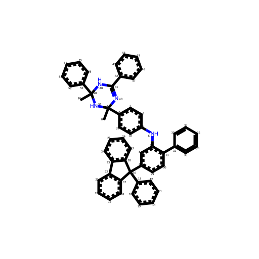 CC1(c2ccc(Nc3cc(C4(c5ccccc5)c5ccccc5-c5ccccc54)ccc3C3=C=C=CC=C3)cc2)N=C(c2ccccc2)NC(C)(c2ccccc2)N1